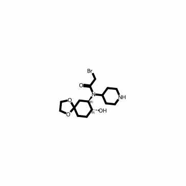 O=C(CBr)N(C1CCNCC1)[C@@H]1CC2(CC[C@H]1O)OCCO2